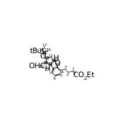 CCOC(=O)CCCc1cccc2c1O[C@H]1C[C@@H](O[Si](C)(C)C(C)(C)C)[C@H](C=O)[C@@H]21